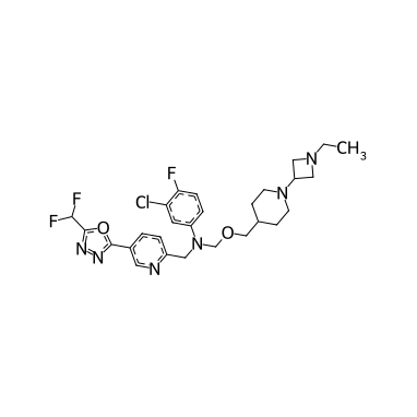 CCN1CC(N2CCC(COCN(Cc3ccc(-c4nnc(C(F)F)o4)cn3)c3ccc(F)c(Cl)c3)CC2)C1